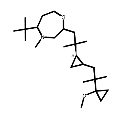 COC1(C(C)(C)CC2C[C@H]2C(C)(C)CC2CN(C)C(C(C)(C)C)CCO2)CC1